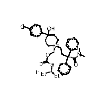 CCC(CC)OC(=O)OC[N+]1(CCC(C(=O)N(C)C)(c2ccccc2)c2ccccc2)CCC(O)(c2ccc(Cl)cc2)CC1.[I-]